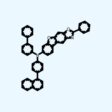 c1ccc(-c2cccc(N(c3ccc(-c4cccc5ccccc45)cc3)c3ccc4c(c3)oc3cc5oc(-c6ccccc6)nc5cc34)c2)cc1